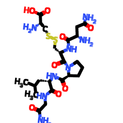 CC(C)C[C@H](NC(=O)[C@@H]1CCCN1C(=O)[C@H](CSSC[C@H](N)C(=O)O)NC(=O)[C@@H](N)CC(N)=O)C(=O)NCC(N)=O